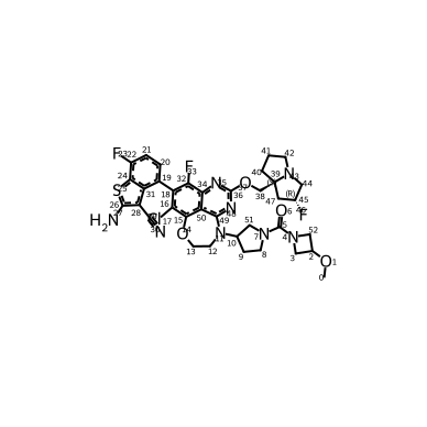 COC1CN(C(=O)N2CCC(N3CCOc4c(Cl)c(-c5ccc(F)c6sc(N)c(C#N)c56)c(F)c5nc(OC[C@@]67CCCN6C[C@H](F)C7)nc3c45)C2)C1